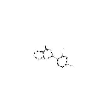 CCOc1cc(N)ccc1-c1nc2[nH]nnc2c(=O)[nH]1